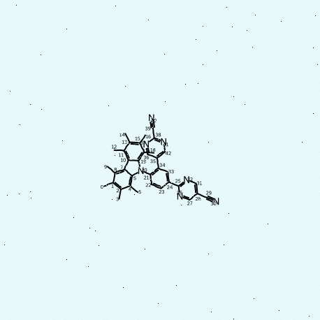 Cc1c(C)c(C)c2c(c1C)c1c(C)c(C)c(C)c(C)c1n2-c1ccc(-c2ncc(C#N)cn2)cc1-c1cnc(C#N)nc1